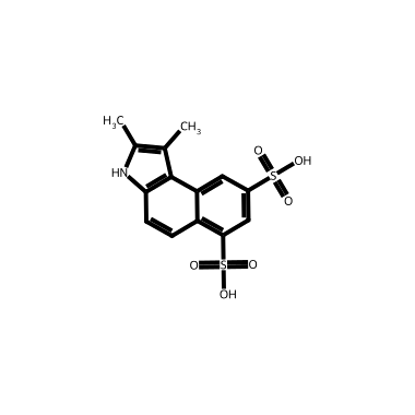 Cc1[nH]c2ccc3c(S(=O)(=O)O)cc(S(=O)(=O)O)cc3c2c1C